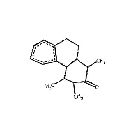 CC1C(=O)C(C)C2CCc3ccccc3C2C1C